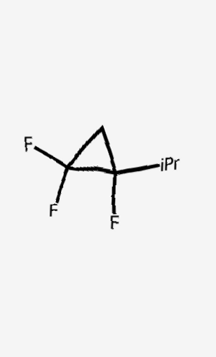 CC(C)C1(F)CC1(F)F